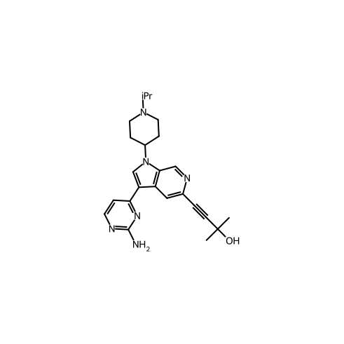 CC(C)N1CCC(n2cc(-c3ccnc(N)n3)c3cc(C#CC(C)(C)O)ncc32)CC1